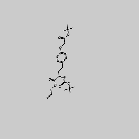 C=CCOC(=O)[C@H](CCc1ccc(OCC(=O)OC(C)(C)C)cc1)NC(=O)OC(C)(C)C